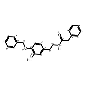 O=C(Cc1ccccc1)NCCc1ccc(OCc2ccccc2)c(O)c1